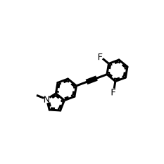 Cn1ccc2cc(C#Cc3c(F)cccc3F)ccc21